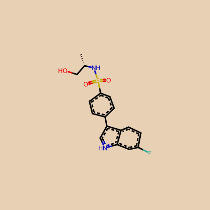 C[C@@H](CO)NS(=O)(=O)c1ccc(-c2c[nH]c3cc(F)ccc23)cc1